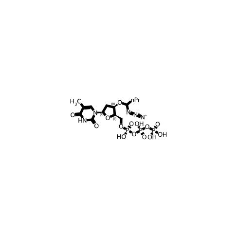 CCCC(N=[N+]=[N-])O[C@@H]1C[C@H](n2cc(C)c(=O)[nH]c2=O)O[C@@H]1COP(=O)(O)OP(=O)(O)OP(=O)(O)O